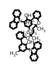 Cc1cc(-c2ccccc2OC(C)(C)CCC(C)(C)Oc2ccccc2-c2cc(C)cc(-n3c4ccccc4c4ccccc43)c2O)c(O)c(-n2c3ccccc3c3ccccc32)c1